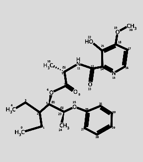 CCC(CC)[C@@H](OC(=O)[C@H](C)NC(=O)c1nccc(OC)c1O)[C@H](C)Oc1ccccc1